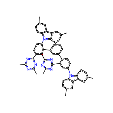 Cc1ccc2c(c1)c1cc(C)ccc1n2-c1ccc(-c2cccc(-c3cc(-c4nc(C)nc(C)n4)ccc3-n3c4ccc(C)cc4c4cc(C)ccc43)c2)c(-c2nc(C)nc(C)n2)c1